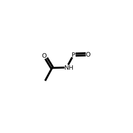 CC(=O)NP=O